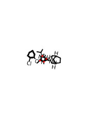 Cc1cc(N2C[C@H]3CC[C@@H](C2)[C@@H]3Nc2nc(Oc3ccccc3Cl)n(C(C)C)n2)sn1